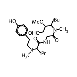 CCC(C)C([C@@H](CC=O)OC)N(C)C(=O)CNC(=O)C(C(C)C)N(C)CCc1ccc(O)cc1